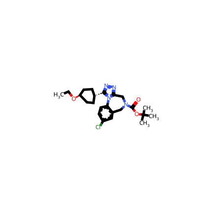 CCO[C@H]1CC[C@H](c2nnc3n2-c2ccc(Cl)cc2CN(C(=O)OC(C)(C)C)C3)CC1